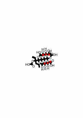 C=CC(CCC)(OC(=O)O)C(OC(=O)O)(OC(=O)O)C(OC(=O)O)(OC(=O)O)C(OC(=O)O)(OC(=O)O)C(OC(=O)O)(OC(=O)O)OC(=O)O